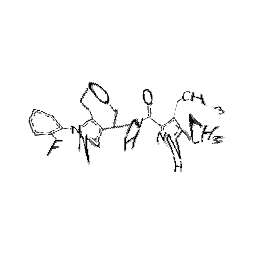 CCc1c(C(=O)NC2COCc3c2cnn3-c2ccccc2F)n[nH]c1C